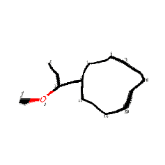 [CH2]C(OC)C1CCCCCCC1